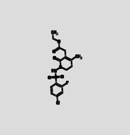 CCOC(=O)CC1=C(C)CCN(NS(=O)(=O)c2ccc(Cl)cc2F)C1=O